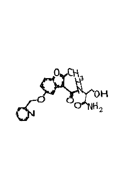 Cc1oc2ccc(OCc3ccccn3)cc2c1C(=O)NC(CO)C(N)=O